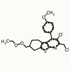 CCOOCC1CCc2c(sc3nc(CCl)c(Cl)c(-c4ccc(OC)cc4)c23)C1